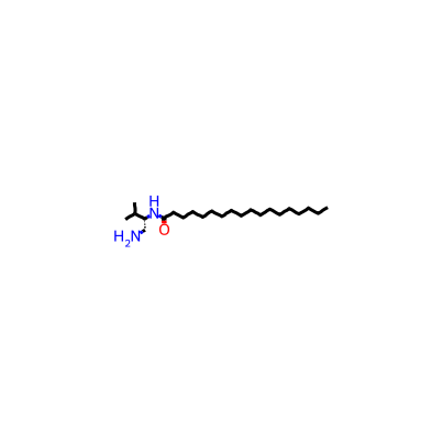 CCCCCCCCCCCCCCCCCC(=O)N[C@H](CN)C(C)C